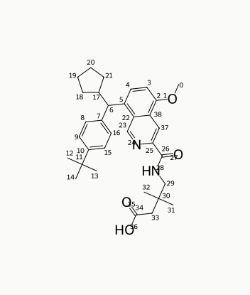 COc1ccc(C(c2ccc(C(C)(C)C)cc2)C2CCCC2)c2cnc(C(=O)NCC(C)(C)CC(=O)O)cc12